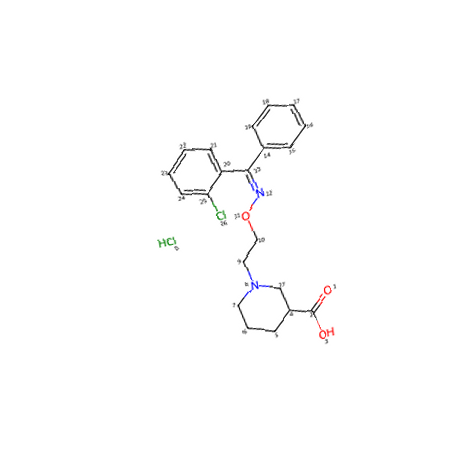 Cl.O=C(O)C1CCCN(CCO/N=C(/c2ccccc2)c2ccccc2Cl)C1